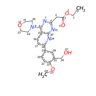 CCOC(=O)Cc1nc(N2CCOCC2)c2ccc(-c3ccc(OC)c(CO)c3)nc2n1